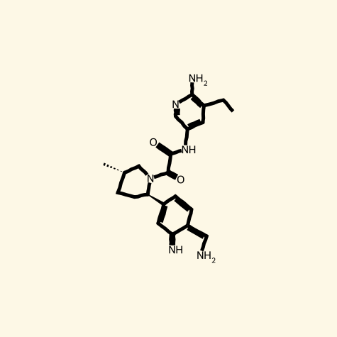 CCc1cc(NC(=O)C(=O)N2C[C@@H](C)CC[C@@H]2C2=CC(=N)/C(=C\N)C=C2)cnc1N